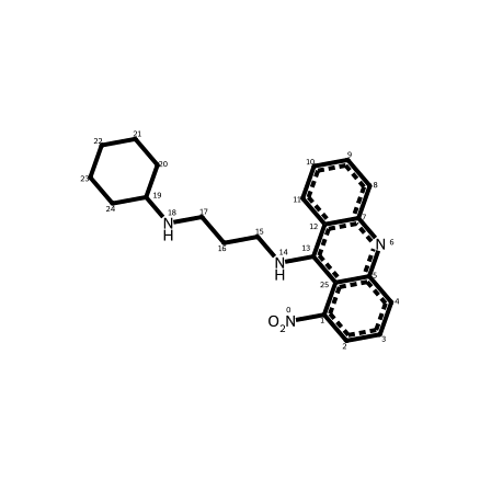 O=[N+]([O-])c1cccc2nc3ccccc3c(NCCCNC3CCCCC3)c12